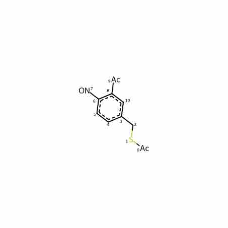 CC(=O)SCc1ccc(N=O)c(C(C)=O)c1